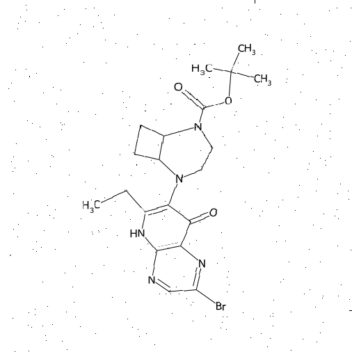 CCc1[nH]c2ncc(Br)nc2c(=O)c1N1CCN(C(=O)OC(C)(C)C)C2CCC21